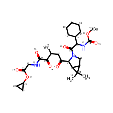 CCCC(CC(=O)C1C2C(CN1C(=O)C(NC(=O)OC(C)(C)C)C1CCCCC1)C2(C)C)C(=O)C(=O)NCC(=O)OC1CC1